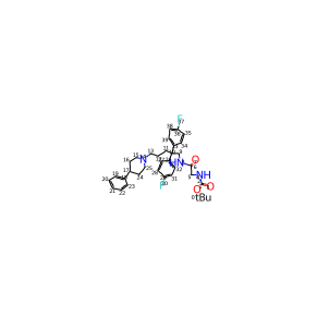 CC(C)(C)OC(=O)NCC(=O)NCC(CCCN1CCC(c2ccccc2)CC1)(c1ccc(F)cc1)c1ccc(F)cc1